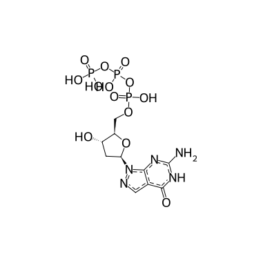 Nc1nc2c(cnn2[C@H]2C[C@H](O)[C@@H](COP(=O)(O)OP(=O)(O)OP(=O)(O)O)O2)c(=O)[nH]1